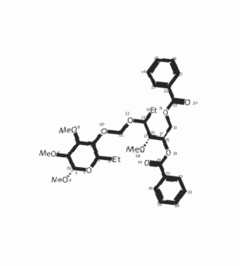 CCC1O[C@H](OC)C(OC)C(OC)C1OCOC(CC)[C@@H](OC)[C@@H](COC(=O)c1ccccc1)OC(=O)c1ccccc1